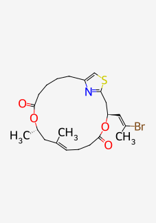 C/C(Br)=C\[C@@H]1Cc2nc(cs2)CCCCC(=O)O[C@@H](C)C/C(C)=C/CCC(=O)O1